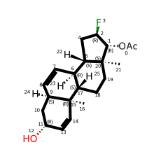 CC(=O)O[C@H]1[C@H](F)C[C@H]2[C@@H]3C=C[C@@H]4C[C@@H](O)C=C[C@]4(C)[C@H]3CC[C@@]21C